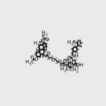 CC(=O)Oc1ccc2c(c1)C(NC(=O)CCOCCOCC(=O)NC(C(=O)N1C[C@H](O)C[C@@H]1C(=O)NCc1ccc(-c3scnc3C)cc1)C(C)(C)C)C[C@H]1[C@H]3CC[C@H](OC(C)=O)[C@@]3(C)CC[C@@H]21